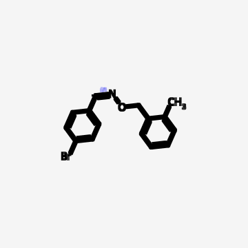 Cc1ccccc1CO/N=[C]\c1ccc(Br)cc1